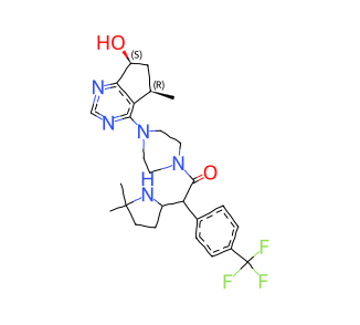 C[C@@H]1C[C@H](O)c2ncnc(N3CCN(C(=O)C(c4ccc(C(F)(F)F)cc4)C4CCC(C)(C)N4)CC3)c21